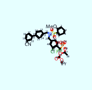 COc1ccccc1S(=O)(=O)N(Cc1ccc(-c2cccc(C#N)c2)cc1)Cc1ccc(C(F)(F)P(=O)(O)OC(C)OC(=O)OC(C)C)c(Cl)c1